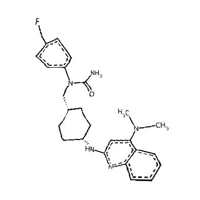 CN(C)c1cc(N[C@H]2CC[C@@H](CN(C(N)=O)c3ccc(F)cc3)CC2)nc2ccccc12